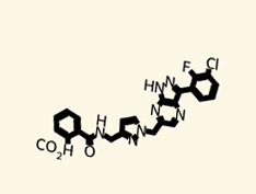 O=C(O)c1ccccc1C(=O)NCc1ccn(Cc2cnc3c(-c4cccc(Cl)c4F)n[nH]c3n2)n1